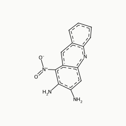 Nc1cc2nc3ccccc3cc2c([N+](=O)[O-])c1N